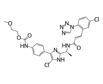 COCCOC(=O)Nc1ccc(-c2nc([C@H](C)NC(=O)/C=C/c3cc(Cl)ccc3-n3cnnn3)[nH]c2Cl)cc1